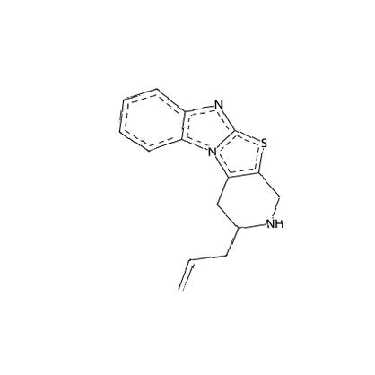 C=CCC1Cc2c(sc3nc4ccccc4n23)CN1